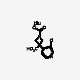 CC(C)(C)OC(=O)N1CC(C(=O)O)(c2ccncc2Cl)C1